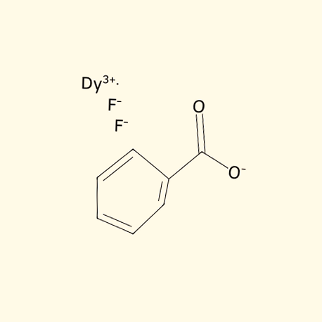 O=C([O-])c1ccccc1.[Dy+3].[F-].[F-]